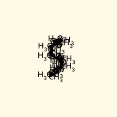 CC(C)C(NC(=O)CCOC(C)(C)CCOC(C)(C)CCN1C(=O)CC(C(C)(C)C)C1=O)C(=O)N[C@@H](C)C(=O)Nc1ccc(CC(C)(C)C)cc1